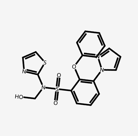 O=S(=O)(c1cccc(-n2cccn2)c1Oc1ccccc1)N(CO)c1nccs1